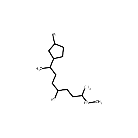 CBC(C)CCC(CCC(C)C1CCC(C(C)(C)C)C1)C(C)C